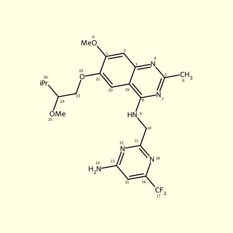 COc1cc2nc(C)nc(NCc3nc(N)cc(C(F)(F)F)n3)c2cc1OCC(OC)C(C)C